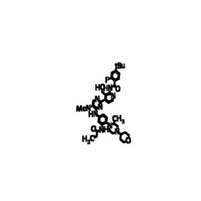 C=CC(=O)Nc1cc(Nc2nc(-c3ccnc(NC(=O)c4ccc(C(C)(C)C)cc4F)c3CO)ncc2NC)ccc1N1CCN(C2CCOCC2)CC1C